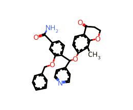 Cc1c(OC(c2ccncc2)c2ccc(C(N)=O)cc2OCc2ccccc2)ccc2c1OCCC2=O